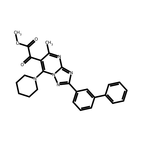 COC(=O)C(=O)c1c(C)nc2nc(-c3cccc(-c4ccccc4)c3)nn2c1N1CCCCC1